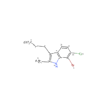 CCOC(=O)CCc1c(C)[nH]c2c(Br)c(Cl)ccc12